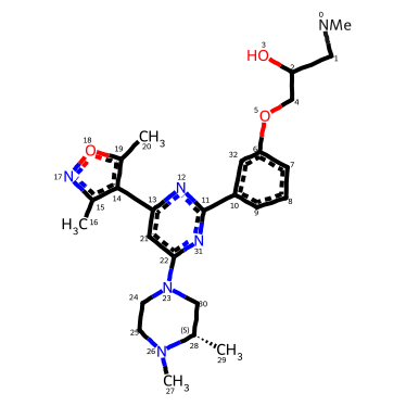 CNCC(O)COc1cccc(-c2nc(-c3c(C)noc3C)cc(N3CCN(C)[C@@H](C)C3)n2)c1